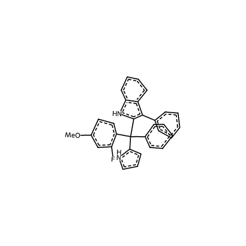 COc1ccc(C(c2ccccc2)(c2ccc[nH]2)c2[nH]c3ccccc3c2-c2ccccc2)c(F)c1